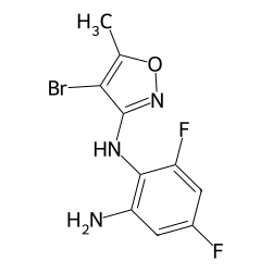 Cc1onc(Nc2c(N)cc(F)cc2F)c1Br